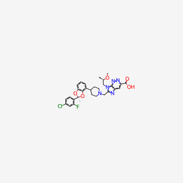 CO[C@H](C)Cn1c(CN2CCC(c3cccc4c3O[C@@](C)(c3ccc(Cl)cc3F)O4)CC2)nc2cc(C(=O)O)nnc21